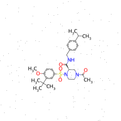 COc1ccc(S(=O)(=O)N2CCN(C(C)=O)C[C@@H]2C(=O)NCc2ccc(C(C)C)cc2)cc1C(C)(C)C